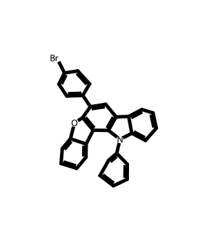 Brc1ccc(-c2cc3c4ccccc4n(-c4ccccc4)c3c3c2oc2ccccc23)cc1